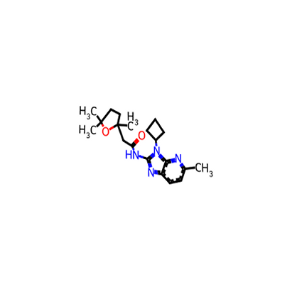 Cc1ccc2nc(NC(=O)CC3(C)CCC(C)(C)O3)n(C3CCC3)c2n1